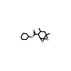 CC1CC2(C)OC23OC3C1C(=O)OC1CCCCC1